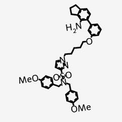 COc1ccc(CN(Cc2ccc(OC)cc2)S(=O)(=O)c2ccn(CCCCCOc3cccc(-c4ccc5c(c4N)CCC5)c3)n2)cc1